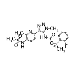 Cc1nc(-c2nnn(C)c2NC(=O)O[C@H](C)c2ccccc2F)ccc1NS(C)(=O)=O